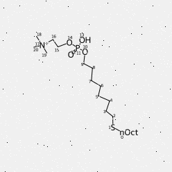 CCCCCCCCSCCCCCCCCOP(=O)(O)OCC[N+](C)(C)C